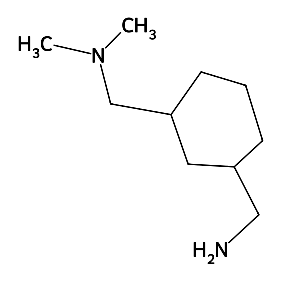 CN(C)CC1CCCC(CN)C1